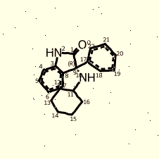 O=C1Nc2ccccc2[C@]1(NC1CCCCC1)c1ccccc1